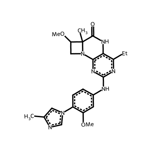 CCc1nc(Nc2ccc(-n3cnc(C)c3)c(OC)c2)nc2c1NC(=O)C1(C)C(OC)CN21